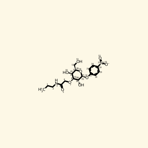 CCCNC(=O)CO[C@H]1[C@@H](O)[C@@H](CO)O[C@@H](Oc2ccc([N+](=O)[O-])cc2)[C@@H]1O